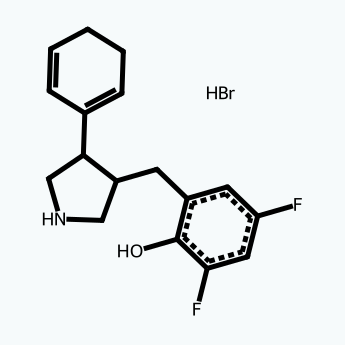 Br.Oc1c(F)cc(F)cc1CC1CNCC1C1=CCCC=C1